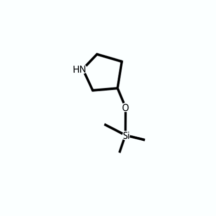 C[Si](C)(C)OC1CCNC1